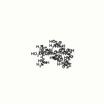 C[C@@H](O)[C@H](NC(=O)[C@H](CO)NC(=O)CNC(=O)[C@@H]1CCCN1C(=O)CNC(=O)[C@H](CO)NC(=O)[C@H](CO)NC(=O)CNC(=O)[C@@H](N)CO)C(=O)NCC(=O)N[C@@H](CC(N)=O)C(=O)N[C@@H](CCCNC(=N)N)C(=O)O